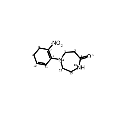 O=C1CCN(C2=C([N+](=O)[O-])CCC=C2)CCN1